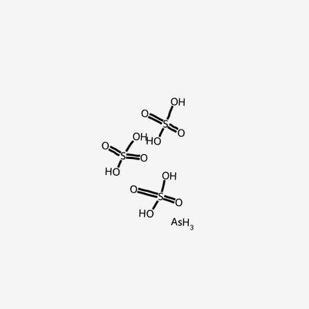 O=S(=O)(O)O.O=S(=O)(O)O.O=S(=O)(O)O.[AsH3]